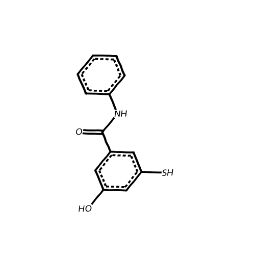 O=C(Nc1ccccc1)c1cc(O)cc(S)c1